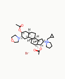 CC(=O)O[C@H]1C[C@H]2CC[C@@H]3[C@H](CC[C@@]4(C)[C@H]3C[C@@H]([N+]3(CC5CC5)CCCC3)[C@@H]4OC(C)=O)[C@@]2(C)C[C@@H]1N1CCOCC1.[Br-]